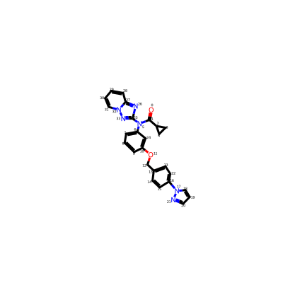 O=C(C1CC1)N(c1cccc(OCc2ccc(-n3cccn3)cc2)c1)c1nc2ccccn2n1